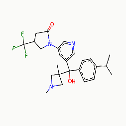 CC(C)c1ccc(C(O)(c2cncc(N3CC(C(F)(F)F)CC3=O)c2)C2(C)CN(C)C2)cc1